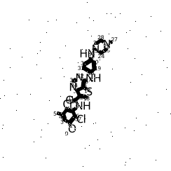 COc1cc(C)c(Cl)c(NC(=O)c2csc3c(Nc4ccc(NN5CCN(C)CC5)cc4)ncnc23)c1Cl